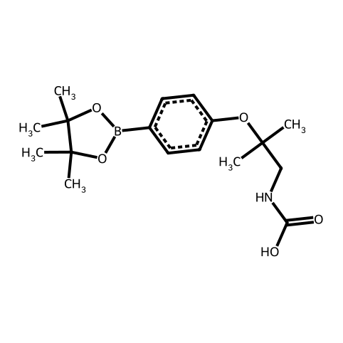 CC(C)(CNC(=O)O)Oc1ccc(B2OC(C)(C)C(C)(C)O2)cc1